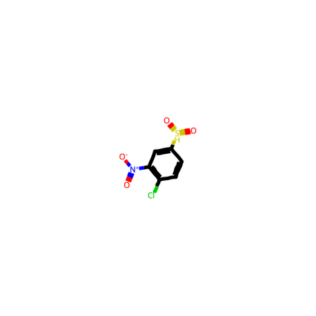 O=[N+]([O-])c1cc([SH](=O)=O)ccc1Cl